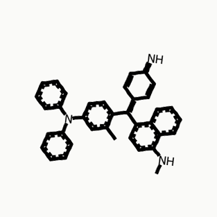 CNc1ccc(C(=C2C=CC(=N)C=C2)c2ccc(N(c3ccccc3)c3ccccc3)cc2C)c2ccccc12